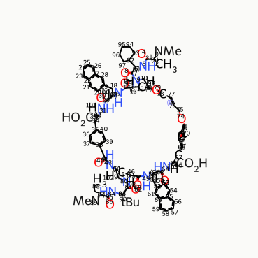 CN[C@@H](C)C(=O)N[C@H](C(=O)N1C[C@@H]2C[C@H]1C(=O)N[C@@H](Cc1ccc3ccccc3c1)C(=O)N[C@H](C(=O)O)Cc1ccc(cc1)C(=O)N[C@H]1C[C@@H](C(=O)N[C@@H](Cc3ccc4ccccc4c3)C(=O)N[C@H](C(=O)O)Cc3ccc(cc3)OC/C=C/CO2)N(C(=O)[C@@H](NC(=O)[C@H](C)NC)C(C)(C)C)C1)C1CCCCC1